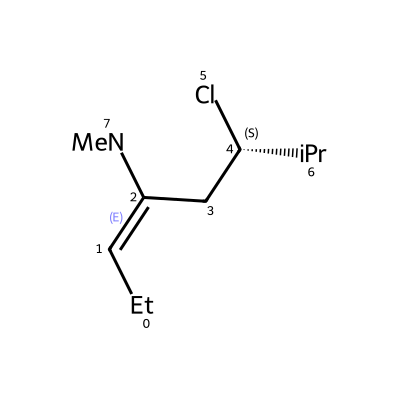 CC/C=C(\C[C@H](Cl)C(C)C)NC